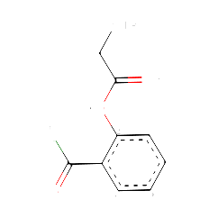 CCCCCCCCC(=O)Oc1ccccc1C(=O)Cl